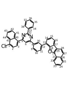 Clc1ccc(-c2cc(-c3cccc(-c4cccc5c4oc4c6ccccc6ccc54)c3)nc(-c3ccccc3)n2)c2ccccc12